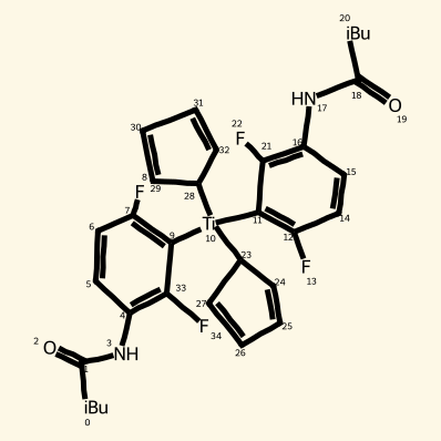 CCC(C)C(=O)Nc1ccc(F)[c]([Ti]([c]2c(F)ccc(NC(=O)C(C)CC)c2F)([CH]2C=CC=C2)[CH]2C=CC=C2)c1F